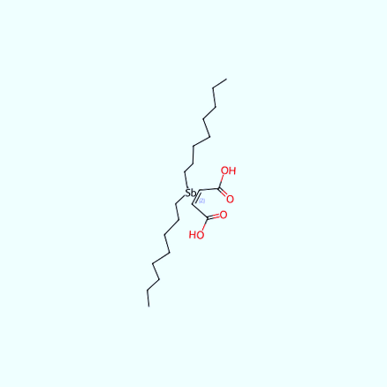 CCCCCCC[CH2][Sb][CH2]CCCCCCC.O=C(O)/C=C\C(=O)O